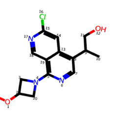 COC1CN(c2ncc(C(C)CO)c3cc(Cl)ncc23)C1